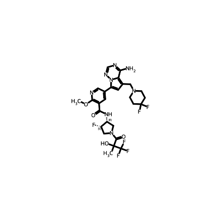 COc1ncc(-c2cc(CN3CCC(F)(F)CC3)c3c(N)ncnn23)cc1C(=O)N[C@@H]1CN(C(=O)C(C)(O)C(F)(F)F)C[C@@H]1F